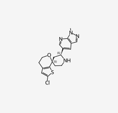 Cn1ncc2cc([C@@H]3C[C@]4(CCN3)OCCc3cc(Cl)sc34)cnc21